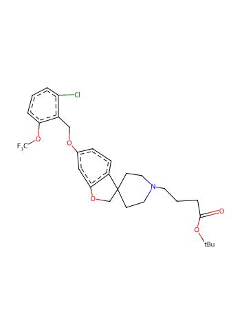 CC(C)(C)OC(=O)CCCN1CCC2(CC1)COc1cc(OCc3c(Cl)cccc3OC(F)(F)F)ccc12